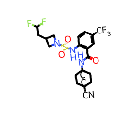 N#CC12CCC(NC(=O)c3cc(C(F)(F)F)ccc3NS(=O)(=O)N3CC(CC(F)F)C3)(CC1)CC2